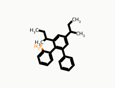 CCC(C)c1cc(-c2ccccc2)c(-c2ccccc2P)c(C(C)CC)c1